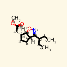 CCC(CC)C1=NO[C@@H]2[C@@H](CC(=O)OC)CC[C@H]12